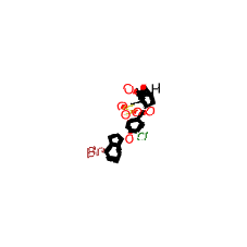 CC1(C)[C@H]2CC[C@]1(CS(=O)(=O)Oc1cc(O[C@H]3CCc4c(Br)cccc43)c(Cl)cc1C=O)C(=O)C2